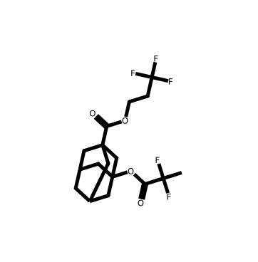 CC(F)(F)C(=O)OC12CC3CC(C1)CC(C(=O)OCCC(F)(F)F)(C3)C2